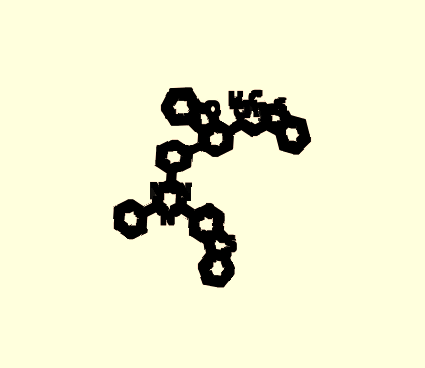 C/C(=C\c1c(C)sc2ccccc12)c1ccc(-c2cccc(-c3nc(-c4ccccc4)nc(-c4ccc5sc6ccccc6c5c4)n3)c2)c2c1oc1ccccc12